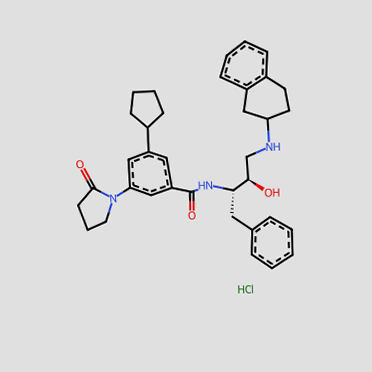 Cl.O=C(N[C@@H](Cc1ccccc1)[C@H](O)CNC1CCc2ccccc2C1)c1cc(C2CCCC2)cc(N2CCCC2=O)c1